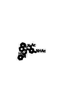 CC(=O)NCc1ccc(CN(Cc2nc3ccccc3[nH]2)C2CCCc3cccnc32)c(C(N)C(C)=O)c1